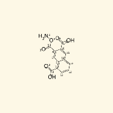 NOC(=O)c1cc2c(C(=O)O)cccc2cc1C(=O)O